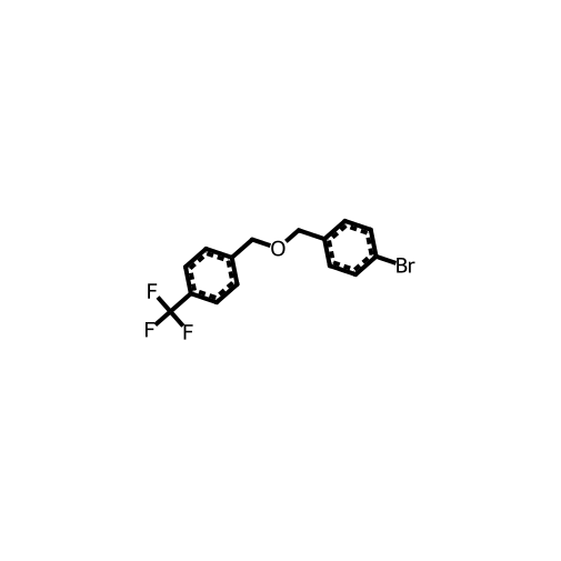 FC(F)(F)c1ccc(COCc2ccc(Br)cc2)cc1